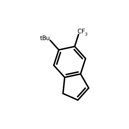 CC(C)(C)c1cc2c(cc1C(F)(F)F)C=CC2